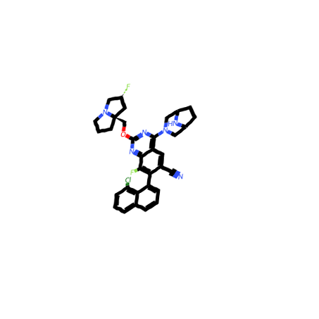 N#Cc1cc2c(N3CC4CCC(C3)N4)nc(OC[C@@]34CCCN3C[C@H](F)C4)nc2c(F)c1-c1cccc2cccc(Cl)c12